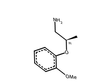 COc1ccccc1O[C@H](C)CN